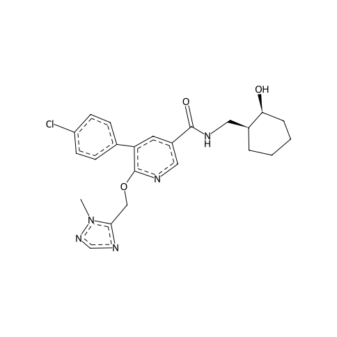 Cn1ncnc1COc1ncc(C(=O)NC[C@@H]2CCCC[C@@H]2O)cc1-c1ccc(Cl)cc1